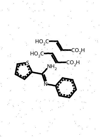 NC(=Nc1ccccc1)c1cccs1.O=C(O)/C=C/C(=O)O.O=C(O)/C=C/C(=O)O